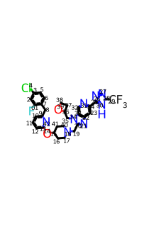 Fc1cc(Cl)ccc1Cc1cccc(OC2CCN(Cc3nc4cc(-c5nnc(C(F)(F)F)[nH]5)ncc4n3CC3CCO3)CC2)n1